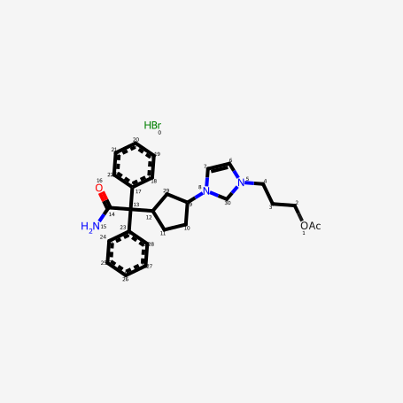 Br.CC(=O)OCCCN1C=CN(C2CCC(C(C(N)=O)(c3ccccc3)c3ccccc3)C2)C1